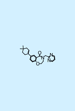 CC1(C)CC=C(c2ccc3c(c2)C(=O)N(Cc2ncccn2)CCO3)CC1